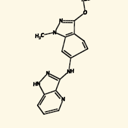 CCCCOc1nn(C)c2cc(Nc3n[nH]c4cccnc34)ccc12